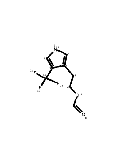 O=COCCc1c[nH]cc1C(F)(F)F